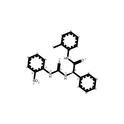 Cc1ccccc1NC(=O)[C@H](NC(=S)Nc1ccccc1[N+](=O)[O-])c1ccccc1